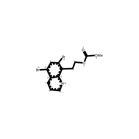 COC(=O)OCCc1c(Br)cc(Br)c2cccnc12